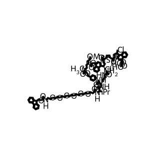 COCCN(CCN(C)C(=O)OCc1ccc(NC(=O)[C@H](CCCNC(N)=O)NC(=O)C(NC(=O)CCOCCOCCOCCOCCOCCOCCNC(=O)OCC2c3ccccc3-c3ccccc32)C(C)C)cc1)C(=O)Oc1cc2c(c3ccccc13)[C@H](CCl)CN2C(=O)c1ccc(C(=O)N2CC(CCl)c3c2cc(OP(=O)(O)O)c2ccccc32)s1